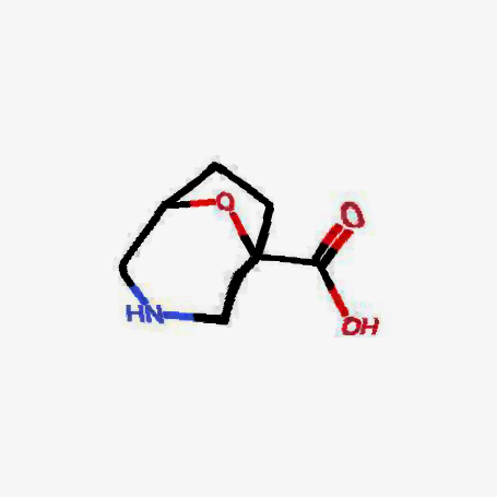 O=C(O)C12CCC(CNC1)O2